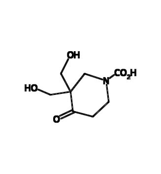 O=C(O)N1CCC(=O)C(CO)(CO)C1